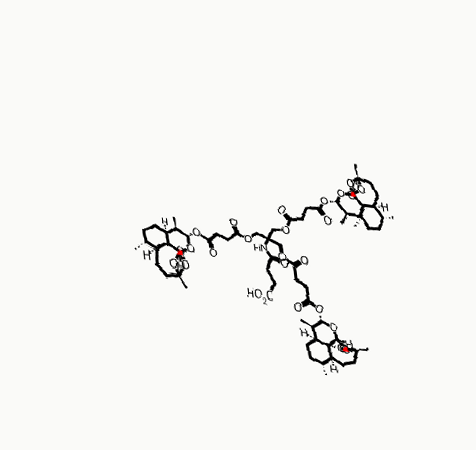 C[C@H]1[C@H](OC(=O)CCC(=O)OCC(COC(=O)CCC(=O)O[C@@H]2O[C@@H]3O[C@@]4(C)CC[C@H]5[C@H](C)CC[C@@H]([C@H]2C)[C@@]35OO4)(COC(=O)CCC(=O)O[C@@H]2O[C@@H]3O[C@@]4(C)CC[C@H]5[C@H](C)CC[C@@](C)([C@H]2C)[C@@]35OO4)NC(=O)CCC(=O)O)O[C@@H]2O[C@@]3(C)CC[C@H]4[C@H](C)CC[C@@H]1[C@@]24OO3